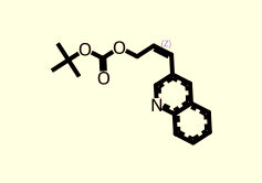 CC(C)(C)OC(=O)OC/C=C\c1cnc2ccccc2c1